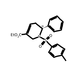 CCOC(=O)C1=CC[C@H](c2ccccc2)N(S(=O)(=O)c2ccc(C)cc2)C1